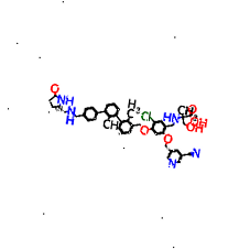 Cc1c(COc2cc(OCc3cncc(C#N)c3)c(CNC(C)(CO)C(=O)O)cc2Cl)cccc1-c1cccc(-c2ccc(CNC[C@@H]3CCC(=O)N3)cc2)c1C